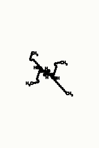 CCCCCC=CCC=CCCCCCCC(O)CN(CCCC[C@@H]1NC(=O)[C@@H](CCCCN(CC(O)CCCCCC/C=C\C/C=C\CCCCC)CC(O)CCCCCC/C=C\C/C=C\CCCCC)NC1=O)CC(O)CCCCCC/C=C\C/C=C\CCCCC